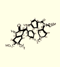 CON(C(=O)c1ccc(N/C(=C2\C(=O)Nc3cc(C(=O)O)c(C)cc32)c2ccccc2)cc1)C1CCN(C)CC1